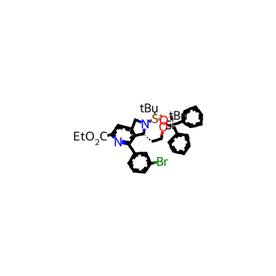 CCOC(=O)c1cc2c(c(-c3cccc(Br)c3)n1)[C@@H](CCO[Si](c1ccccc1)(c1ccccc1)C(C)(C)C)N([S@@+]([O-])C(C)(C)C)C2